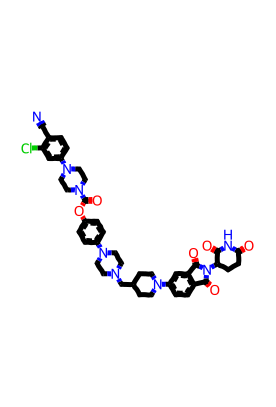 N#Cc1ccc(N2CCN(C(=O)Oc3ccc(N4CCN(CC5CCN(c6ccc7c(c6)C(=O)N(C6CCC(=O)NC6=O)C7=O)CC5)CC4)cc3)CC2)cc1Cl